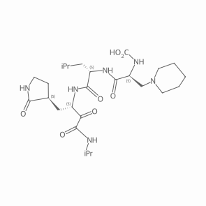 CC(C)C[C@H](NC(=O)[C@H](CN1CCCCC1)NC(=O)O)C(=O)N[C@@H](C[C@@H]1CCNC1=O)C(=O)C(=O)NC(C)C